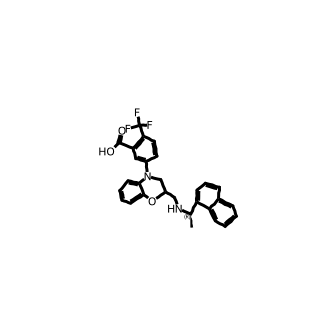 C[C@@H](NCC1CN(c2ccc(C(F)(F)F)c(C(=O)O)c2)c2ccccc2O1)c1cccc2ccccc12